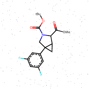 COC(=O)C1C2CC2(c2cc(F)cc(F)c2)CN1C(=O)OC(C)(C)C